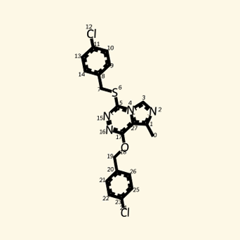 Cc1ncn2c(SCc3ccc(Cl)cc3)nnc(OCc3ccc(Cl)cc3)c12